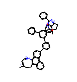 C/C1=C/C=N\c2c(c3ccccc3c3cc(-c4cccc(-c5cc(C6=C(\C)CC/C(c7ccccc7)=N/C(c7ccccc7)=N\6)cc(-c6ccccc6)c5)c4)ccc23)CC1